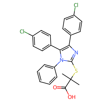 CC(C)(Sc1nc(-c2ccc(Cl)cc2)c(-c2ccc(Cl)cc2)n1-c1ccccc1)C(=O)O